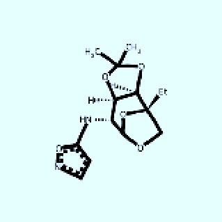 CC[C@@]12COC(O1)[C@H](Nc1ccno1)[C@H]1OC(C)(C)O[C@H]12